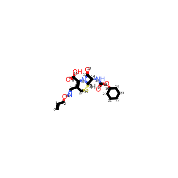 C=CCO/N=C/C1=C(C(=O)O)N2C(=O)[C@@H](NC(=O)OC3CCCCC3)[C@H]2SC1